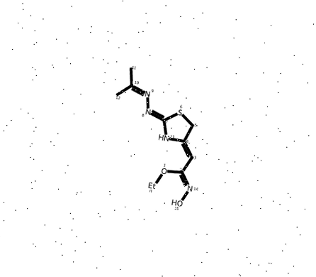 CCOC(C=C1[CH]SC(=NN=C(C)C)N1)=NO